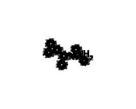 NC(CC(/N=C/C1CC(C2=CCC3C4CCC=CC4C4C=CCCC4C3C2)CC(C2CCCCC2)C1)C1CCCCC1)C1CC=CCC1